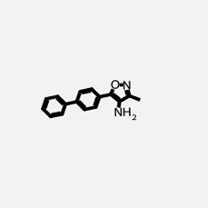 Cc1noc(-c2ccc(-c3ccccc3)cc2)c1N